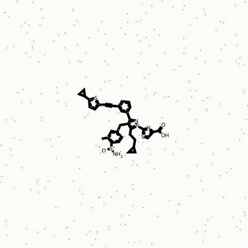 Cc1cc(Cc2c(-c3cccc(C#Cc4ccc(C5CC5)s4)c3)nn(-c3nc(C(=O)O)cs3)c2CCC2CC2)ccc1[S+](N)[O-]